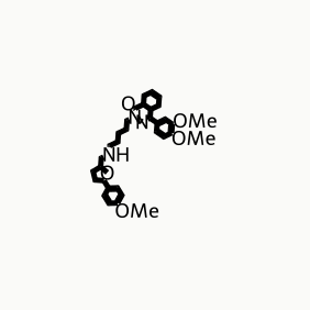 COc1ccc(C2CCC(CNCCCCCN3N=C(c4ccc(OC)c(OC)c4)C4CC=CCC4C3=O)O2)cc1